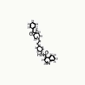 O=C(NC1CCC(CCN2CCC(F)(C(=O)c3ccccc3)CC2)CC1)c1ccnc2ccccc12